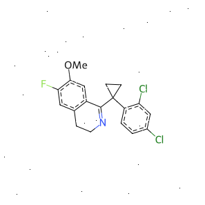 COc1cc2c(cc1F)CCN=C2C1(c2ccc(Cl)cc2Cl)CC1